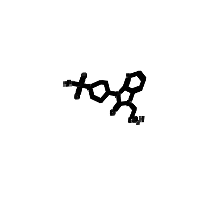 CCCS(=O)(=O)N1CCC(n2c(=O)n(CC(=O)O)c3cccnc32)CC1